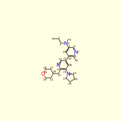 CCCN(C)c1cnc(C)c(-c2cnc(CC3CCOCC3)c(N3CCCC3)c2)c1